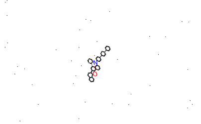 c1ccc(-c2ccc(-c3ccc(N(c4ccccc4)c4ccccc4-c4ccc5oc6c7ccccc7ccc6c5c4)cc3)cc2)cc1